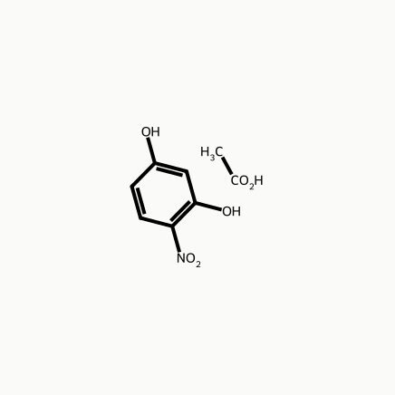 CC(=O)O.O=[N+]([O-])c1ccc(O)cc1O